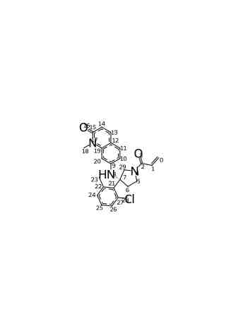 C=CC(=O)N1CC[C@@](Nc2ccc3ccc(=O)n(C)c3c2)(c2c(C)cccc2Cl)C1